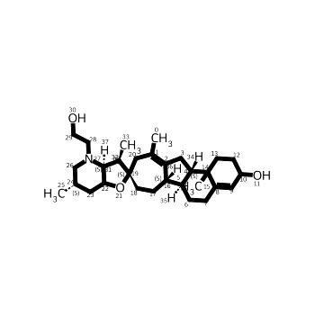 CC1=C2C[C@H]3[C@@H](CCC4=CC(O)CCC43C)[C@@H]2CC[C@@]2(C1)OC1C[C@H](C)CN(CCO)[C@H]1[C@H]2C